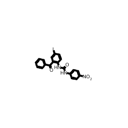 O=C(Nc1ccc([N+](=O)[O-])cc1)Nc1ccc(I)cc1C(=O)c1ccccc1